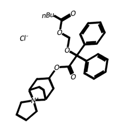 CCCCC(=O)OCOC(C(=O)OC1CC2CCC(C1)[N+]21CCCC1)(c1ccccc1)c1ccccc1.[Cl-]